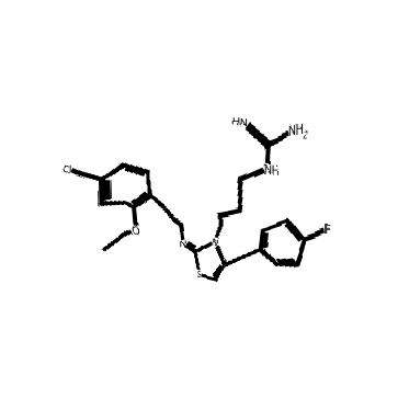 COc1cc(Cl)ccc1C/N=c1/scc(-c2ccc(F)cc2)n1CCCNC(=N)N